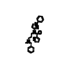 CN(CCCN(C(=O)c1cccs1)c1ccn(-c2ccccc2)n1)Cc1ccccc1